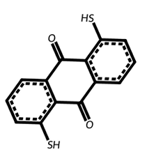 O=C1c2cccc(S)c2C(=O)c2cccc(S)c21